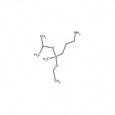 CCO[Si](C)(CCCN)OC(C)C